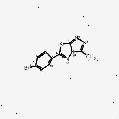 Cc1nnc2sc(-c3ccc(Br)cc3)nn12